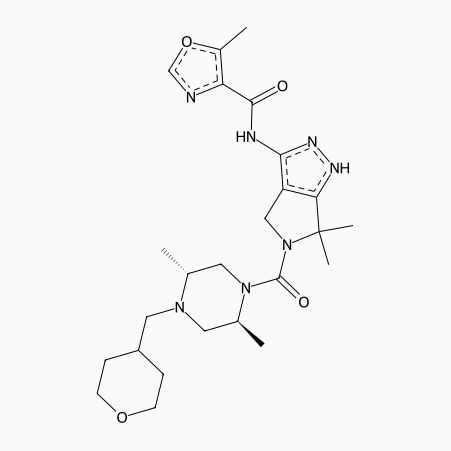 Cc1ocnc1C(=O)Nc1n[nH]c2c1CN(C(=O)N1C[C@@H](C)N(CC3CCOCC3)C[C@@H]1C)C2(C)C